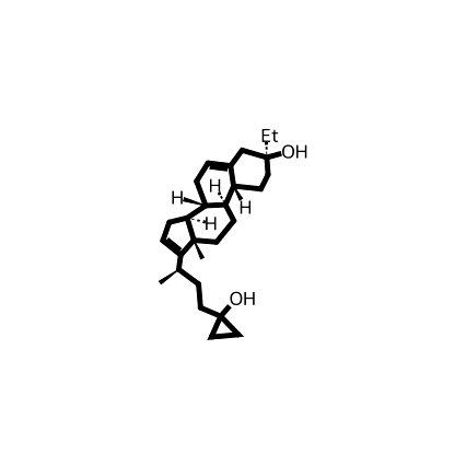 CC[C@]1(O)CC[C@H]2C(=CC[C@@H]3[C@@H]2CC[C@]2(C)C([C@H](C)CCC4(O)CC4)=CC[C@@H]32)C1